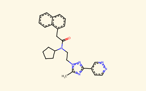 Cc1nc(-c2ccnnc2)nn1CCN(C(=O)Cc1cccc2ccccc12)C1CCCC1